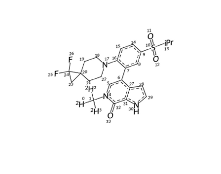 [2H]C([2H])([2H])n1cc(-c2cc(S(=O)(=O)C(C)C)ccc2N2CCC3(CC2)CC3(F)F)c2cc[nH]c2c1=O